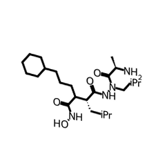 CC(C)C[C@@H](C(=O)NN(CC(C)C)C(=O)[C@@H](C)N)C(CCCC1CCCCC1)C(=O)NO